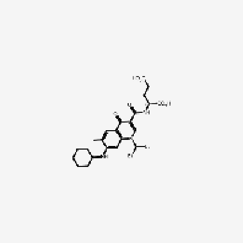 CCC(CC)n1cc(C(=O)N[C@@H](CCC(=O)O)C(=O)O)c(=O)c2cc(F)c(NC3CCCCC3)cc21